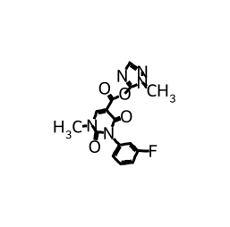 Cn1ncnc1OC(=O)c1cn(C)c(=O)n(-c2cccc(F)c2)c1=O